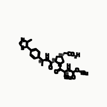 Cc1ncsc1-c1ccc([C@H](C)NC(=O)[C@@H]2C[C@H](CC(=O)O)CN2C(=O)[C@@H](NC(=O)OC(C)(C)C)C(C)(C)C)cc1